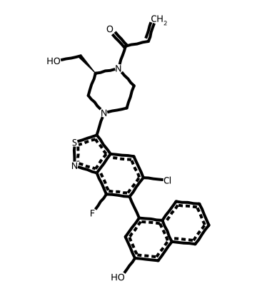 C=CC(=O)N1CCN(c2snc3c(F)c(-c4cc(O)cc5ccccc45)c(Cl)cc23)C[C@H]1CO